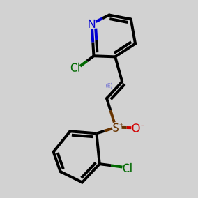 [O-][S+](/C=C/c1cccnc1Cl)c1ccccc1Cl